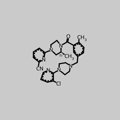 Cc1ccc(CN2CCN(c3ncccc3Cl)CC2)cc1C(=O)N1CCN(c2cccc(C#N)n2)C[C@@H]1C